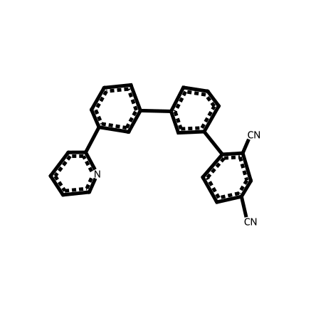 N#Cc1ccc(-c2cccc(-c3cccc(-c4ccccn4)c3)c2)c(C#N)c1